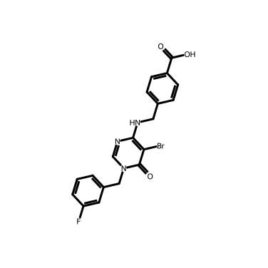 O=C(O)c1ccc(CNc2ncn(Cc3cccc(F)c3)c(=O)c2Br)cc1